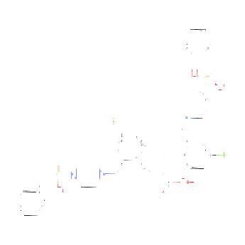 O=C(O)C(Oc1ccc(F)cc1CN1CCN(S(=O)(=O)Cc2ccccc2)CC1)Oc1ccc(F)cc1CN1CCN(S(=O)(=O)Cc2ccccc2)CC1